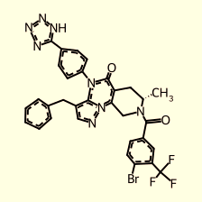 C[C@H]1Cc2c(n3ncc(Cc4ccccc4)c3n(-c3ccc(-c4nnn[nH]4)cc3)c2=O)CN1C(=O)c1ccc(Br)c(C(F)(F)F)c1